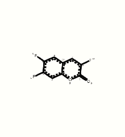 O=c1oc2cc(F)c(F)cc2cc1F